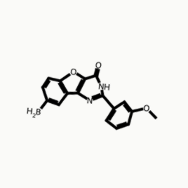 Bc1ccc2oc3c(=O)[nH]c(-c4cccc(OC)c4)nc3c2c1